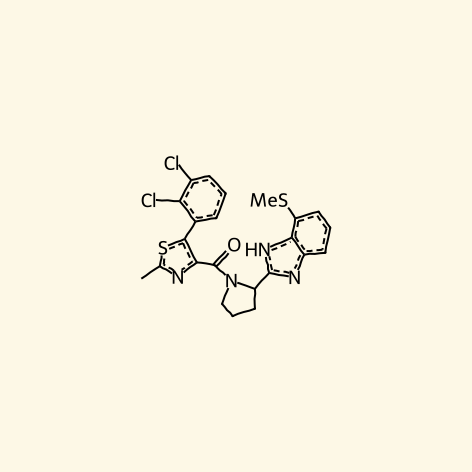 CSc1cccc2nc(C3CCCN3C(=O)c3nc(C)sc3-c3cccc(Cl)c3Cl)[nH]c12